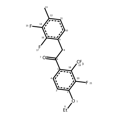 CCOc1ccc(C(=O)Cc2ccc(C)c(F)c2F)c(C(F)(F)F)c1F